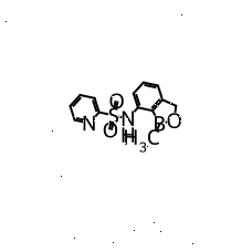 CB1OCc2cccc(NS(=O)(=O)c3ccccn3)c21